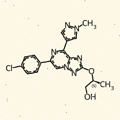 C[C@@H](CO)Oc1nc2c(-c3cnn(C)c3)nc(-c3ccc(Cl)cc3)cn2n1